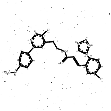 O=C(O)Nc1ccc(-c2cc(CCNC(=O)C=Cc3cc(Cl)ccc3-n3cnnn3)c(Cl)nn2)cc1